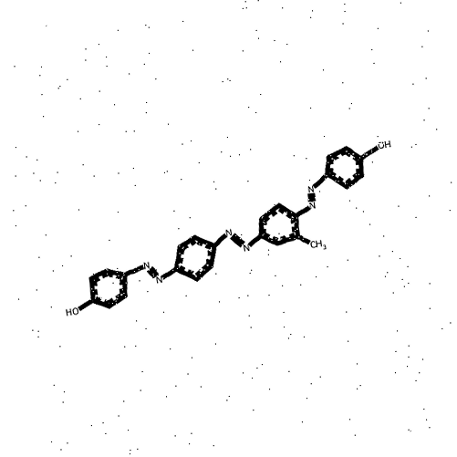 Cc1cc(N=Nc2ccc(N=Nc3ccc(O)cc3)cc2)ccc1N=Nc1ccc(O)cc1